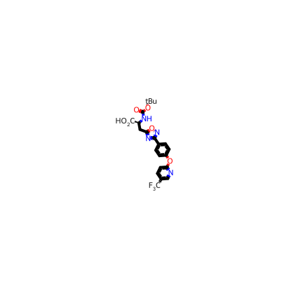 CC(C)(C)OC(=O)N[C@@H](Cc1nc(-c2ccc(Oc3ccc(C(F)(F)F)cn3)cc2)no1)C(=O)O